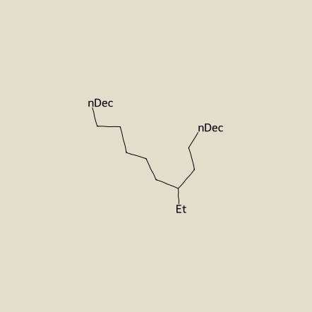 [CH2]CC(CCCCCCCCCCCC)CCCCCCCCCCCCCCC